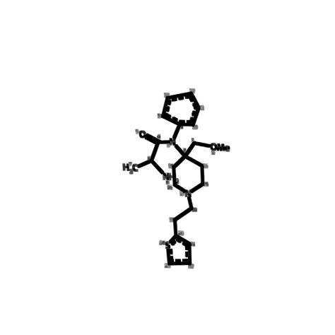 COCC1(N(C(=O)C(C)N)c2ccccc2)CCN(CCc2cccs2)CC1